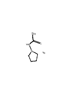 S=C(S)NN1CCCC1.[Na]